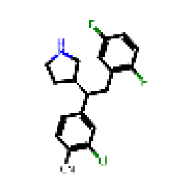 N#Cc1ccc(C(Cc2cc(F)ccc2F)[C@H]2CCNC2)cc1Cl